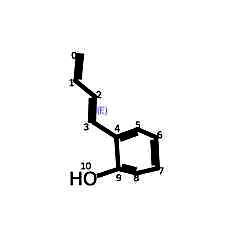 C=C/C=C/c1ccccc1O